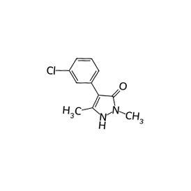 Cc1[nH]n(C)c(=O)c1-c1cccc(Cl)c1